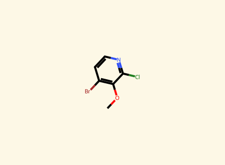 COc1c(Br)ccnc1Cl